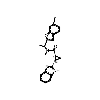 Cc1ccc2cc(C(C)N(C)C(=O)[C@H]3C[C@@H]3c3nc4ccccc4[nH]3)oc2c1